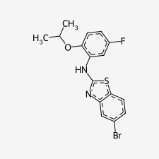 CC(C)Oc1ccc(F)cc1Nc1nc2cc(Br)ccc2s1